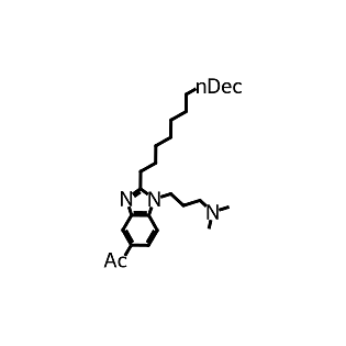 CCCCCCCCCCCCCCCCCc1nc2cc(C(C)=O)ccc2n1CCCN(C)C